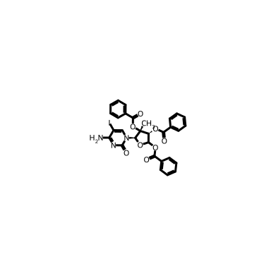 C[C@@]1(OC(=O)c2ccccc2)[C@H](OC(=O)c2ccccc2)C(OC(=O)c2ccccc2)O[C@H]1n1cc(I)c(N)nc1=O